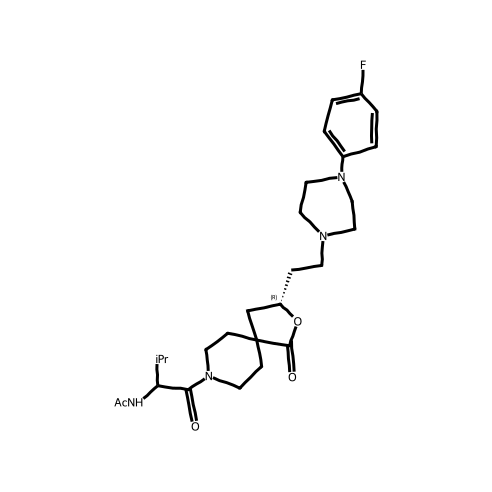 CC(=O)NC(C(=O)N1CCC2(CC1)C[C@H](CCN1CCN(c3ccc(F)cc3)CC1)OC2=O)C(C)C